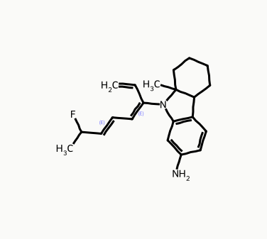 C=C/C(=C\C=C\C(C)F)N1c2cc(N)ccc2C2CCCCC21C